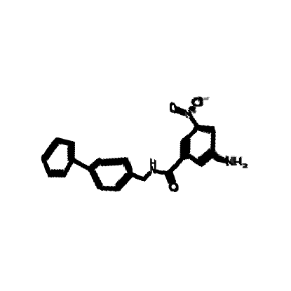 Nc1cc(C(=O)NCc2ccc(-c3ccccc3)cc2)cc([N+](=O)[O-])c1